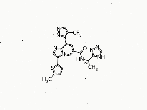 Cc1ccc(-c2cnc3c(-n4nncc4C(F)(F)F)cc(C(=O)N[C@@H](C)c4nnc[nH]4)cn23)s1